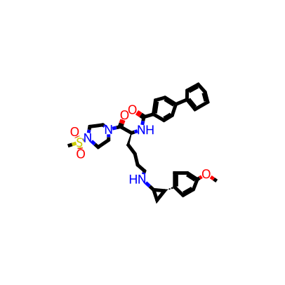 COc1ccc([C@@H]2CC2NCCCC[C@H](NC(=O)c2ccc(-c3ccccc3)cc2)C(=O)N2CCN(S(C)(=O)=O)CC2)cc1